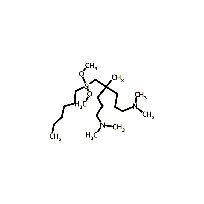 CCCCCC[Si](CC(C)(CCCN(C)C)CCCN(C)C)(OC)OC